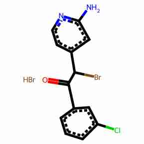 Br.Nc1cc(C(Br)C(=O)c2cccc(Cl)c2)ccn1